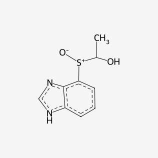 CC(O)[S+]([O-])c1cccc2[nH]cnc12